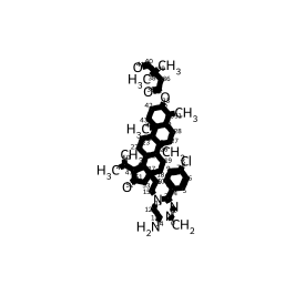 C=N/N=C(/c1ccc(Cl)cc1)N(CCN)CCC12CCC3C(CCC4C3(C)CCC3C(C)C(OC(=O)CC(C)(C)C=O)CCC34C)C1=C(C(C)C)C(=O)C2